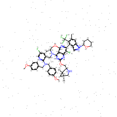 COc1ccc(CN(Cc2ccc(OC)cc2)c2ncc(F)cc2[C@@H](C)N2c3nc(OC[C@H]4NC[C@@H]5C[C@@H]54)nc4c(F)c(-c5c(C(F)(F)F)c(C)cc6c5cnn6C5CCCCO5)nc(c34)OC[C@@H]2C)cc1